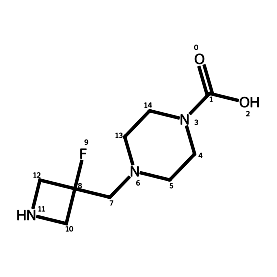 O=C(O)N1CCN(CC2(F)CNC2)CC1